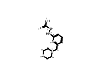 O=C(O)NNc1cccc(CN2CCOCC2)n1